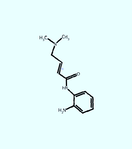 CN(C)C/C=C/C(=O)Nc1ccccc1N